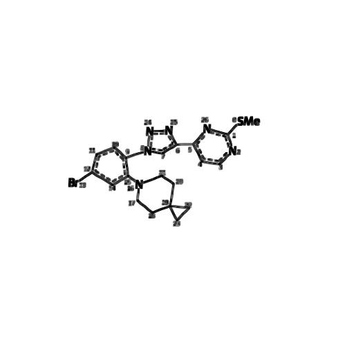 CSc1nccc(-c2cn(-c3ccc(Br)cc3N3CCC4(CC3)CC4)nn2)n1